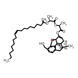 C=C(CCCCCCC/C=C\CCCCCCCC)O[C@@H](C)C(=O)O[C@@H](C)C(=O)OC1=CC[C@@]2(O)[C@H]3Cc4ccc(CO)c5c4[C@@]2(CCN3C)[C@H]1O5